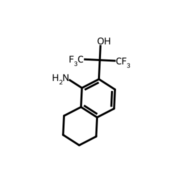 Nc1c(C(O)(C(F)(F)F)C(F)(F)F)ccc2c1CCCC2